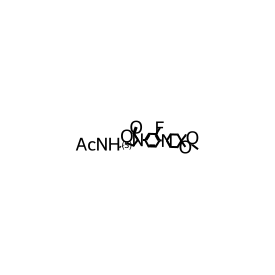 CC(=O)NC[C@H]1CN(c2ccc(N3CCC4(CC3)COC(C)O4)c(F)c2)C(=O)O1